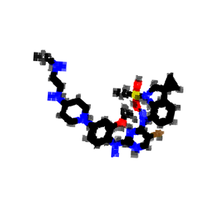 CNCCNC1CCN(c2ccc(Nc3ncc(Br)c(Nc4cccc5c4N(S(C)(=O)=O)CC54CC4)n3)c(OC)c2)CC1